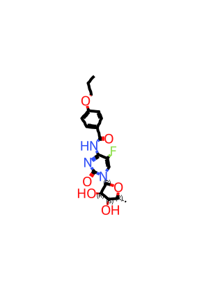 CCCOc1ccc(C(=O)Nc2nc(=O)n([C@@H]3O[C@H](C)[C@@H](O)[C@H]3O)cc2F)cc1